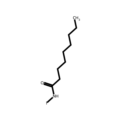 CCCCCCCCC(=O)NI